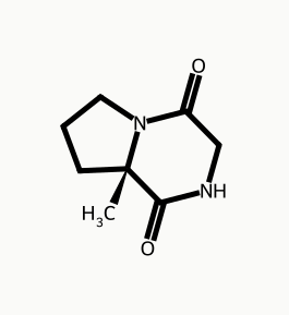 C[C@@]12CCCN1C(=O)CNC2=O